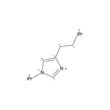 CC(C)CCc1cn(C(C)C)cn1